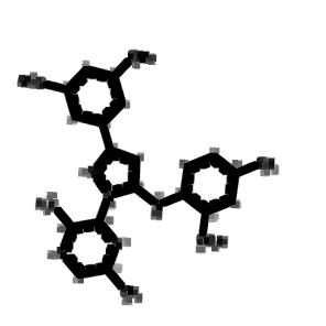 COc1cc(OC)cc(-c2cc(Nc3ccc(C)cc3C(=O)O)n(-c3nc(C)cnc3C)n2)c1